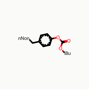 CCCCCCCCCCc1ccc(OC(=O)OC(C)CC)cc1